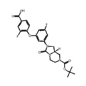 CC(C)(C)OC(=O)N1CCN2C(=O)N(c3cc(F)cc(Oc4ccc(C(=O)O)cc4F)c3)C[C@@H]2C1